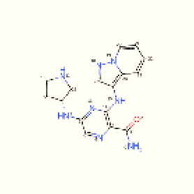 NC(=O)c1ncc(N[C@@H]2CCNC2)nc1Nc1cnn2ccccc12